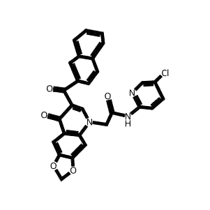 O=C(Cn1cc(C(=O)c2ccc3ccccc3c2)c(=O)c2cc3c(cc21)OCO3)Nc1ccc(Cl)cn1